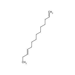 C=CCCCCCCCCC=CCC